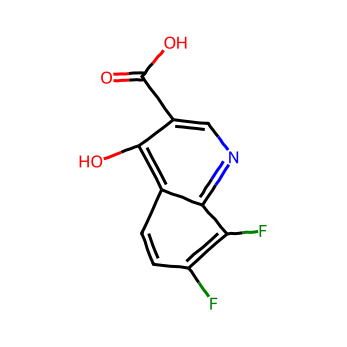 O=C(O)c1cnc2c(F)c(F)ccc2c1O